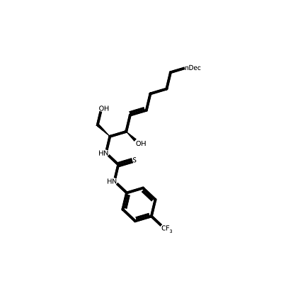 CCCCCCCCCCCCC/C=C/[C@@H](O)[C@H](CO)NC(=S)Nc1ccc(C(F)(F)F)cc1